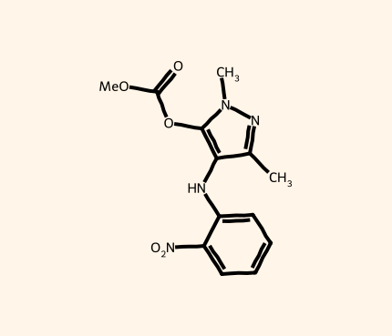 COC(=O)Oc1c(Nc2ccccc2[N+](=O)[O-])c(C)nn1C